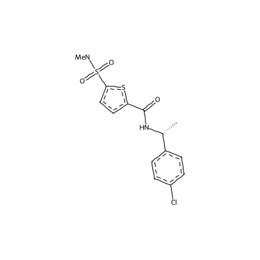 CNS(=O)(=O)c1ccc(C(=O)N[C@H](C)c2ccc(Cl)cc2)s1